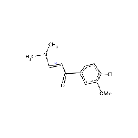 COc1cc(C(=O)/C=C/N(C)C)ccc1Cl